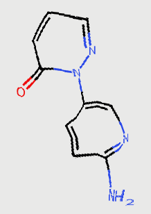 Nc1ccc(-n2ncccc2=O)cn1